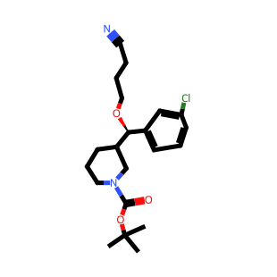 CC(C)(C)OC(=O)N1CCCC([C@@H](OCCCC#N)c2cccc(Cl)c2)C1